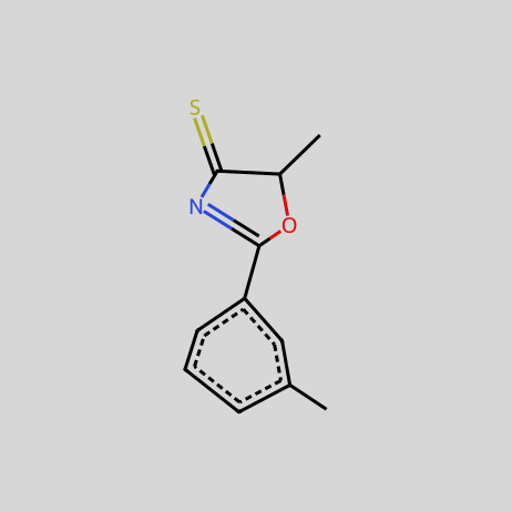 Cc1cccc(C2=NC(=S)C(C)O2)c1